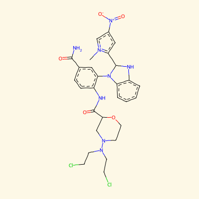 Cn1cc([N+](=O)[O-])cc1C1Nc2ccccc2N1c1cc(C(N)=O)ccc1NC(=O)C1CN(N(CCCl)CCCl)CCO1